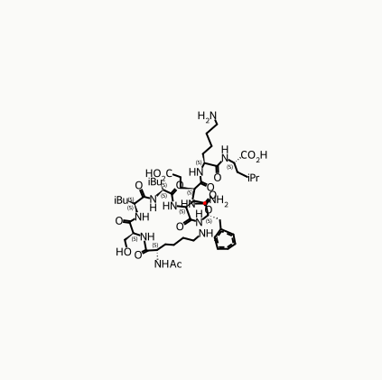 CC[C@H](C)[C@H](NC(=O)[C@H](CO)NC(=O)[C@H](CCCCN)NC(C)=O)C(=O)N[C@H](C(=O)N[C@@H](CC(N)=O)C(=O)N[C@@H](Cc1ccccc1)C(=O)N[C@@H](CCC(=O)O)C(=O)N[C@@H](CCCCN)C(=O)N[C@@H](CC(C)C)C(=O)O)[C@@H](C)CC